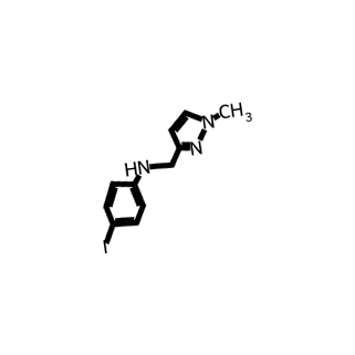 Cn1ccc(CNc2ccc(I)cc2)n1